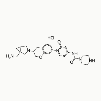 Cl.NCC12CC1CN(C1COc3cc(-n4ccc(NC(=O)N5CCNCC5)nc4=O)ccc3C1)C2